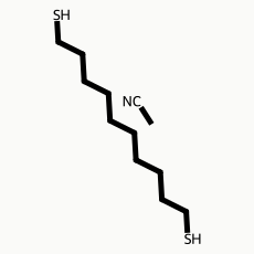 CC#N.SCCCCCCCCCCS